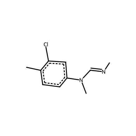 CN=CN(C)c1ccc(C)c(Cl)c1